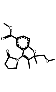 COCC1(C)Oc2ccc(C(=O)OC)cc2C(N2CCCC2=O)=C1C